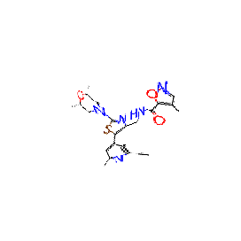 Cc1cc(-c2sc(N3C[C@@H](C)O[C@@H](C)C3)nc2CNC(=O)c2oncc2C)cc(C)n1